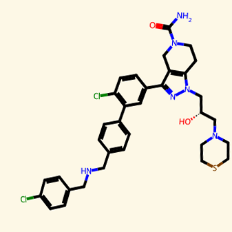 NC(=O)N1CCc2c(c(-c3ccc(Cl)c(-c4ccc(CNCc5ccc(Cl)cc5)cc4)c3)nn2C[C@@H](O)CN2CCSCC2)C1